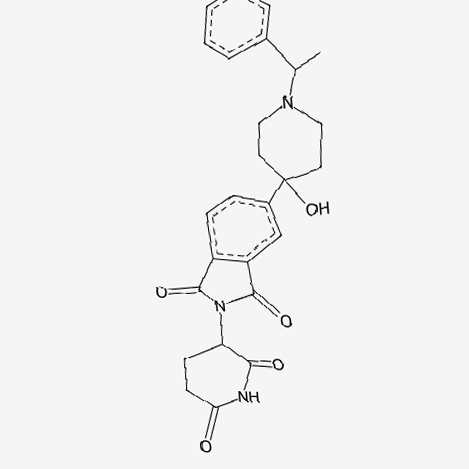 CC(c1ccccc1)N1CCC(O)(c2ccc3c(c2)C(=O)N(C2CCC(=O)NC2=O)C3=O)CC1